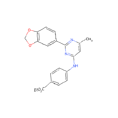 CCOC(=O)c1ccc(Nc2cc(C)nc(-c3ccc4c(c3)OCO4)n2)cc1